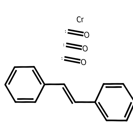 C(=Cc1ccccc1)c1ccccc1.[C]=O.[C]=O.[C]=O.[Cr]